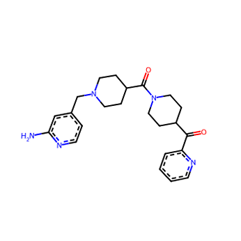 Nc1cc(CN2CCC(C(=O)N3CCC(C(=O)c4ccccn4)CC3)CC2)ccn1